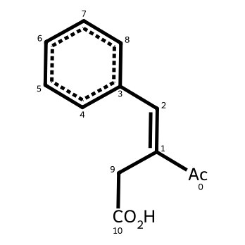 CC(=O)C(=Cc1ccccc1)CC(=O)O